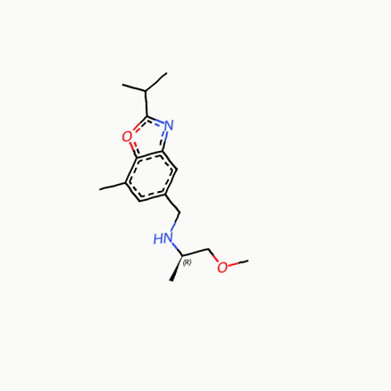 COC[C@@H](C)NCc1cc(C)c2oc(C(C)C)nc2c1